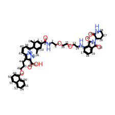 Cc1cc(C(=O)NCCOCCOCCNc2cccc3c2C(=O)N(C2CCCNC2=O)C3=O)cc(C)c1-c1cccc2c(CCCOc3cccc4ccccc34)c(C(=O)O)nn12